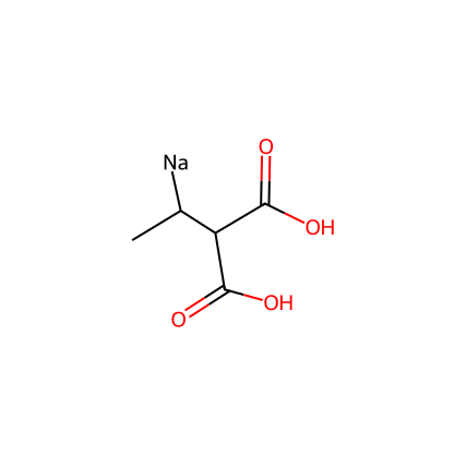 C[CH]([Na])C(C(=O)O)C(=O)O